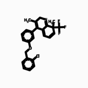 CC1=C(c2cccc(OCc3ccccc3Cl)c2)C2=CC=CC(C)(C(F)(F)F)C2=NC1